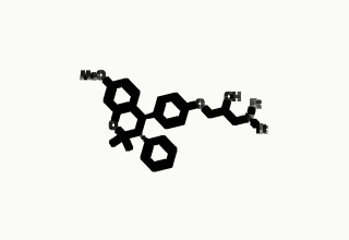 CCN(CC)CC(O)COc1ccc([C@@H]2c3ccc(OC)cc3OC(C)(C)[C@H]2c2ccccc2)cc1